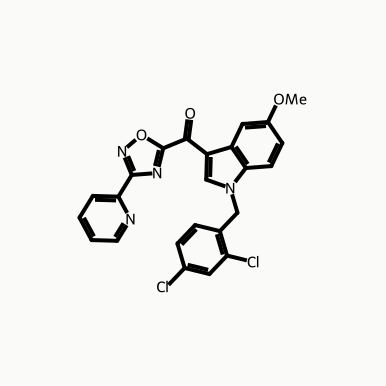 COc1ccc2c(c1)c(C(=O)c1nc(-c3ccccn3)no1)cn2Cc1ccc(Cl)cc1Cl